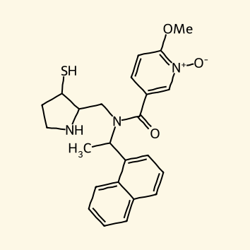 COc1ccc(C(=O)N(CC2NCCC2S)C(C)c2cccc3ccccc23)c[n+]1[O-]